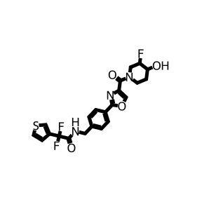 O=C(c1coc(-c2ccc(CNC(=O)C(F)(F)c3ccsc3)cc2)n1)N1CCC(O)C(F)C1